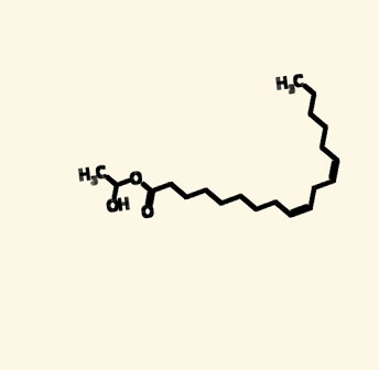 CCCCC/C=C\C/C=C\CCCCCCCC(=O)OC(C)O